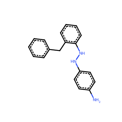 Nc1ccc(NNc2ccccc2Cc2ccccc2)cc1